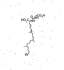 C/C(=C\CSCC(NC(=O)NCC(=O)O)C(=O)O)CCCC(C)CCCC(C)CCCC(C)C